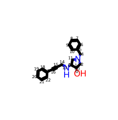 O[C@@H]1CN(Cc2ccccc2)C[C@@H]1NCC#Cc1ccccc1